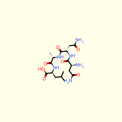 CC(C)C[C@H](NC(=O)[C@H](C)NC(=O)[C@H](CC(N)=O)NC(=O)[C@@H](N)CC(N)=O)C(=O)O